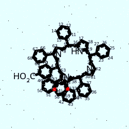 O=C(O)c1ccc(-c2c3nc(c(-c4ccccc4)c4ccc([nH]4)c(-c4ccccc4)c4nc(c(-c5ccccc5)c5c(-c6ccccc6)c(-c6ccccc6)c2n5-c2ccccc2)C=C4)C=C3c2ccccc2)cc1